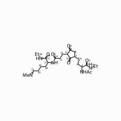 CCNC(=O)C(CSC1CC(=O)C(CCC(=O)NC(CCCCNC)C(=O)NCC)C1=O)NC(C)=O